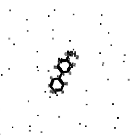 Nc1ncc(-c2ccncc2)cn1